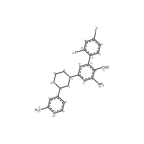 Cc1cc(C2CN(c3nc(N)c(C=O)c(-c4ccc(F)cc4F)n3)CCO2)ccn1